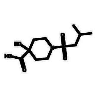 CC(C)CS(=O)(=O)N1CCC(O)(C(=O)O)CC1